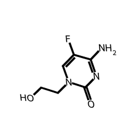 Nc1nc(=O)n(CCO)cc1F